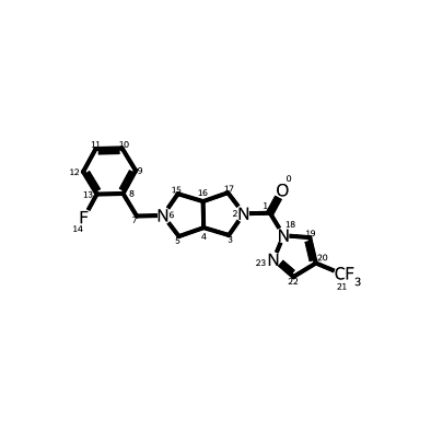 O=C(N1CC2CN(Cc3ccccc3F)CC2C1)n1cc(C(F)(F)F)cn1